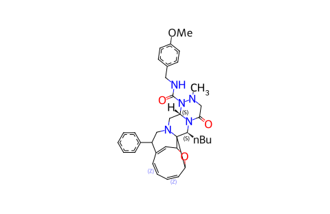 CCCC[C@@H]1N2C(=O)CN(C)N(C(=O)NCc3ccc(OC)cc3)[C@H]2CN2CC(c3ccccc3)C3=CC4OC(/C=C\C=C/3)C412